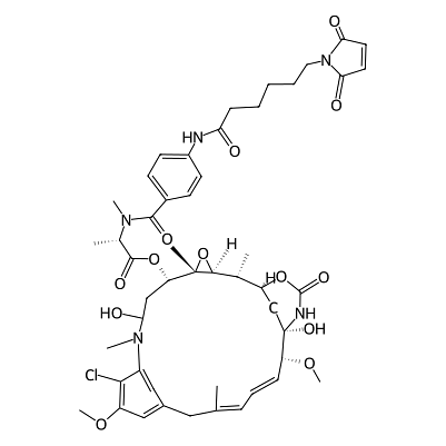 COc1cc2cc(c1Cl)N(C)C(O)C[C@H](OC(=O)[C@H](C)N(C)C(=O)c1ccc(NC(=O)CCCCCN3C(=O)C=CC3=O)cc1)[C@]1(C)O[C@H]1[C@H](C)[C@@H]1C[C@@](O)(NC(=O)O1)[C@H](OC)/C=C/C=C(\C)C2